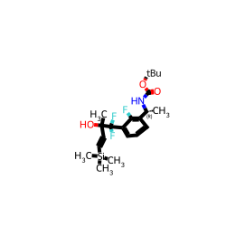 C[C@@H](NC(=O)OC(C)(C)C)c1cccc(C(F)(F)C(C)(O)C#C[Si](C)(C)C)c1F